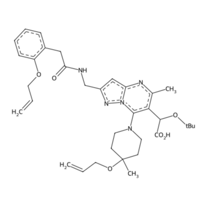 C=CCOc1ccccc1CC(=O)NCc1cc2nc(C)c(C(OC(C)(C)C)C(=O)O)c(N3CCC(C)(OCC=C)CC3)n2n1